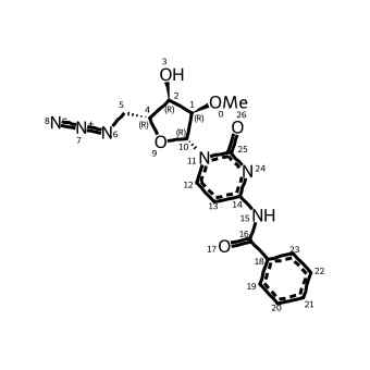 CO[C@@H]1[C@H](O)[C@@H](CN=[N+]=[N-])O[C@H]1n1ccc(NC(=O)c2ccccc2)nc1=O